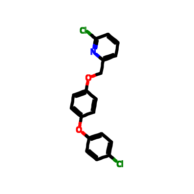 Clc1ccc(Oc2ccc(OCc3cccc(Cl)n3)cc2)cc1